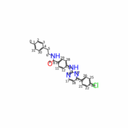 Cc1ccc(CCNC(=O)c2ccc(Nc3nccc(-c4ccc(Cl)cc4)n3)cc2)cc1